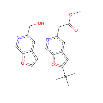 COC(=O)Cc1cc2cc([Si](C)(C)C)oc2cn1.OCc1cc2ccoc2cn1